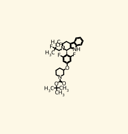 C[C@@H]1Cc2c([nH]c3ccccc23)[C@@H](c2c(F)cc(OC3CCCN(C(=O)OC(C)(C)C)C3)cc2F)N1CC(C)(C)F